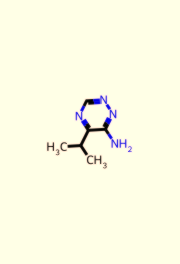 CC(C)c1ncnnc1N